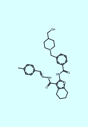 Cc1ccc(/C=N/NC(=O)c2c(NC(=O)c3cccc(CN4CCC(CO)CC4)c3)sc3c2CCCC3)cc1